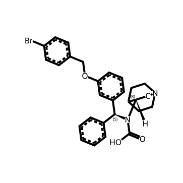 O=C(O)N([C@@H](c1ccccc1)c1cccc(OCc2ccc(Br)cc2)c1)[C@H]1CN2CCC1CC2